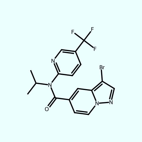 CC(C)N(C(=O)c1ccn2ncc(Br)c2c1)c1ccc(C(F)(F)F)cn1